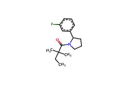 CCC(C)(C)C(=O)N1CCCC1c1cccc(F)c1